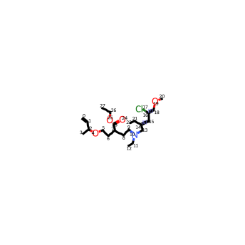 C=CC(C)OCCC(CCN(CC)C/C(=C/C(Cl)=C/OC)CC)C(=O)OCC